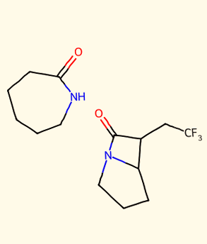 O=C1C(CC(F)(F)F)C2CCCN12.O=C1CCCCCN1